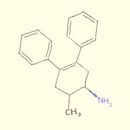 CC1CC(c2ccccc2)=C(c2ccccc2)C[C@H]1N